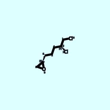 ClC[C@H](Cl)CCC[C@H]1CO1